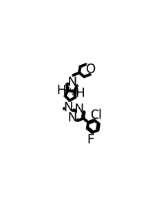 CN(c1ncc(-c2cc(F)ccc2Cl)cn1)C1C[C@@H]2CN(CC3CCOCC3)C[C@@H]2C1